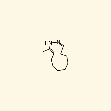 CC1=C2CCCCCCC2C=NN1